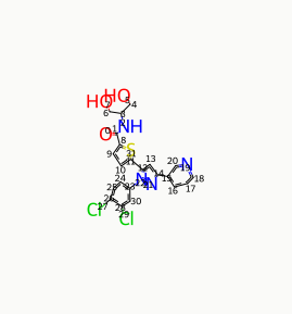 O=C(NC(CO)CO)c1ccc(-c2cc(-c3cccnc3)nn2-c2ccc(Cl)c(Cl)c2)s1